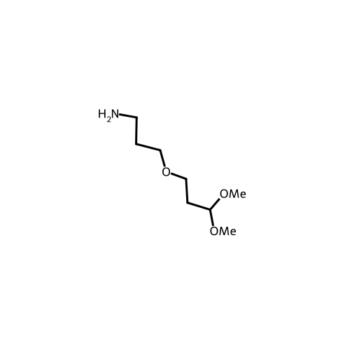 COC(CCOCCCN)OC